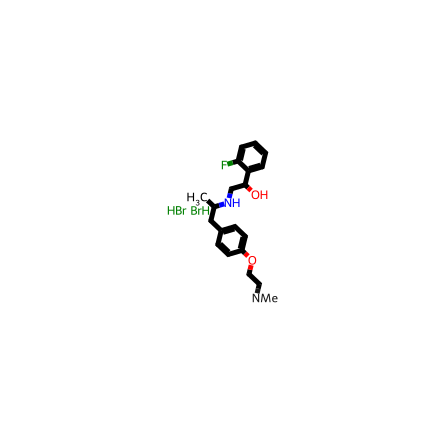 Br.Br.CNCCOc1ccc(CC(C)NCC(O)c2ccccc2F)cc1